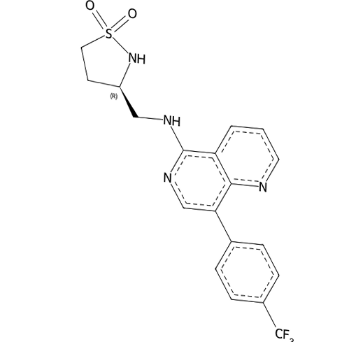 O=S1(=O)CC[C@H](CNc2ncc(-c3ccc(C(F)(F)F)cc3)c3ncccc23)N1